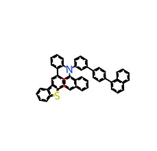 c1cc(-c2ccc(-c3cccc4ccccc34)cc2)cc(N(c2ccccc2-c2ccc3sc4ccccc4c3c2)c2cccc3ccccc23)c1